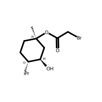 CC(C)[C@@H]1CC[C@@](C)(OC(=O)CBr)C[C@H]1O